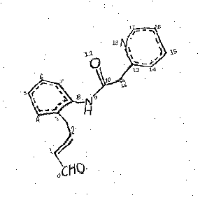 O=[C]/C=C/c1ccccc1NC(=O)Cc1ccccn1